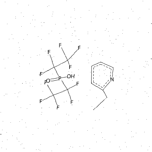 CCc1ccccn1.O=P(O)(C(F)(F)C(F)(F)F)C(F)(F)C(F)(F)F